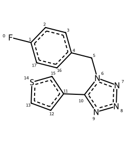 Fc1ccc(Cn2nnnc2-c2ccsc2)cc1